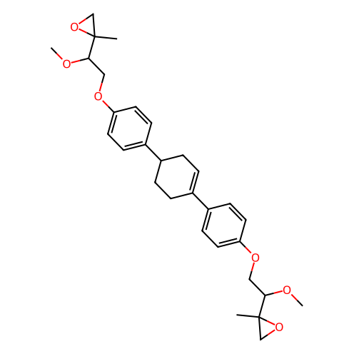 COC(COc1ccc(C2=CCC(c3ccc(OCC(OC)C4(C)CO4)cc3)CC2)cc1)C1(C)CO1